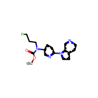 CC(C)(C)OC(=O)N(CCCF)c1ccc(-n2ccc3ccncc32)nc1